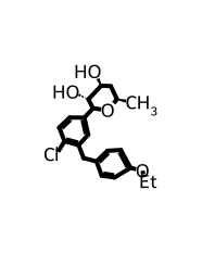 CCOc1ccc(Cc2cc(C3O[C@H](C)C[C@H](O)[C@H]3O)ccc2Cl)cc1